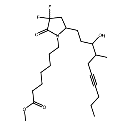 CCCC#CCC(C)C(O)CCC1CC(F)(F)C(=O)N1CCCCCCC(=O)OC